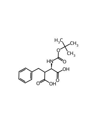 CC(C)(C)OC(=O)N[C@@H](C(=O)O)C(Cc1ccccc1)C(=O)O